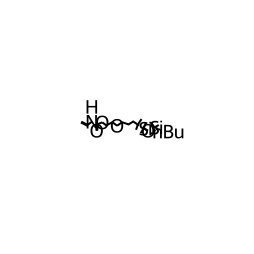 C=CNC(=O)OCCOCCCC(C)(C)[Si](C)(C)O[Si](C)(C)CCCC